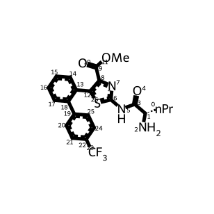 CCC[C@H](N)C(=O)Nc1nc(C(=O)OC)c(-c2ccccc2-c2ccc(C(F)(F)F)cc2)s1